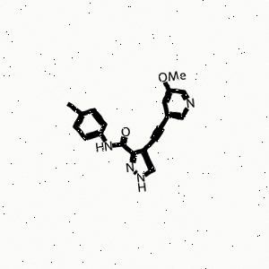 COc1cncc(C#Cc2c[nH]nc2C(=O)Nc2ccc(C)cc2)c1